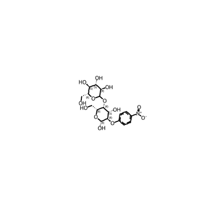 O=[N+]([O-])c1ccc(O[C@@H]2[C@@H](O)[C@@H](OC3O[C@H](CO)[C@@H](O)[C@H](O)[C@H]3O)[C@@H](CO)O[C@H]2O)cc1